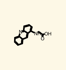 O=C(O)CNc1cccc2nc3ccccc3cc12